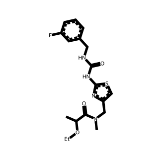 CCOC(C)C(=O)N(C)Cc1csc(NC(=O)NCc2cccc(F)c2)n1